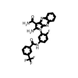 NC(=O)c1c(N)n(-c2cc(NC(=O)c3cccc(C(F)(F)F)c3)ccc2F)c2nc3ccccc3nc12